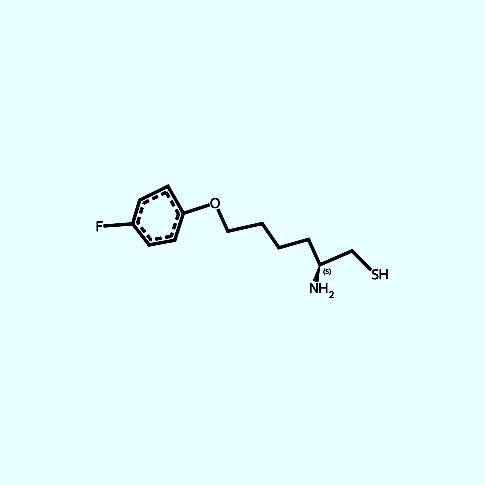 N[C@H](CS)CCCCOc1ccc(F)cc1